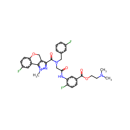 CN(C)CCOC(=O)c1ccc(F)c(NC(=O)CN(Cc2cccc(F)c2)C(=O)c2nn(C)c3c2COc2ccc(F)cc2-3)c1